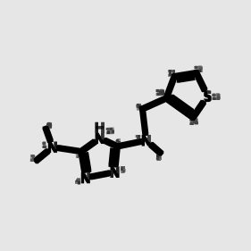 CN(C)c1nnc(N(C)Cc2ccsc2)[nH]1